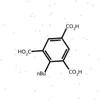 [CH2]CCCc1c(C(=O)O)cc(C(=O)O)cc1C(=O)O